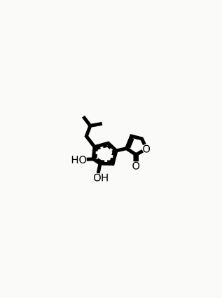 CC(C)Cc1cc(C2=CCOC2=O)cc(O)c1O